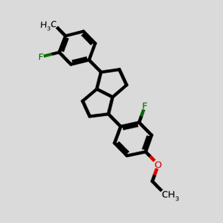 CCOc1ccc(C2CCC3C(c4ccc(C)c(F)c4)CCC23)c(F)c1